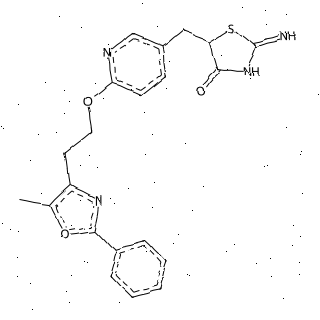 Cc1oc(-c2ccccc2)nc1CCOc1ccc(CC2SC(=N)NC2=O)cn1